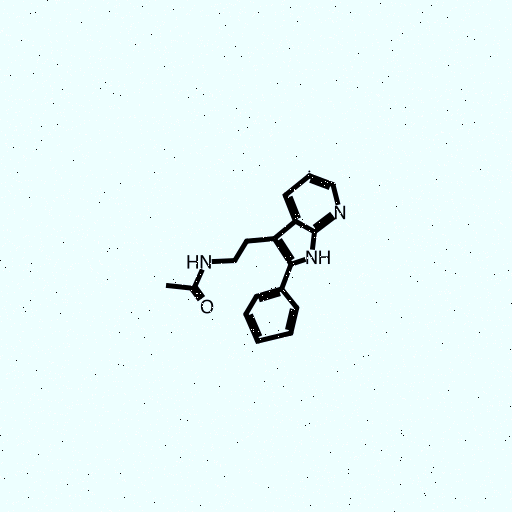 CC(=O)NCCc1c(-c2ccccc2)[nH]c2nc[c]cc12